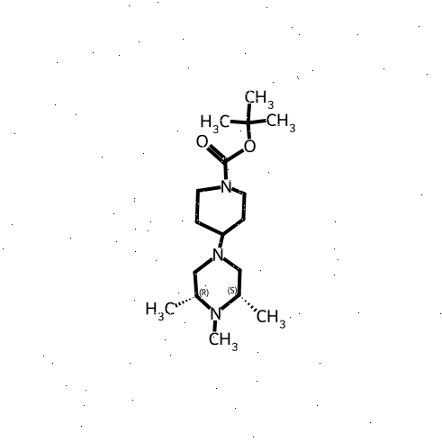 C[C@@H]1CN(C2CCN(C(=O)OC(C)(C)C)CC2)C[C@H](C)N1C